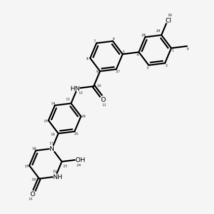 Cc1ccc(-c2cccc(C(=O)Nc3ccc(N4C=CC(=O)NC4O)cc3)c2)cc1Cl